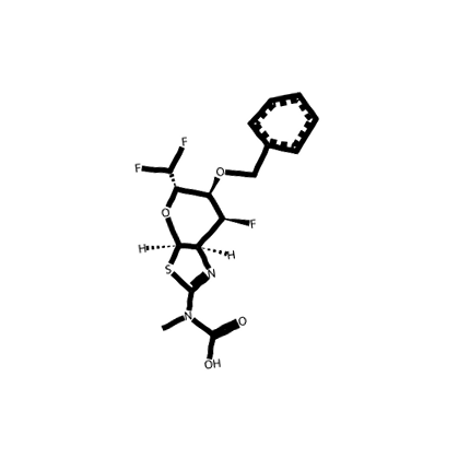 CN(C(=O)O)C1=N[C@@H]2[C@H](F)[C@H](OCc3ccccc3)[C@@H](C(F)F)O[C@@H]2S1